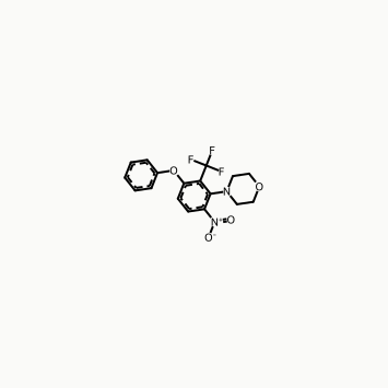 O=[N+]([O-])c1ccc(Oc2ccccc2)c(C(F)(F)F)c1N1CCOCC1